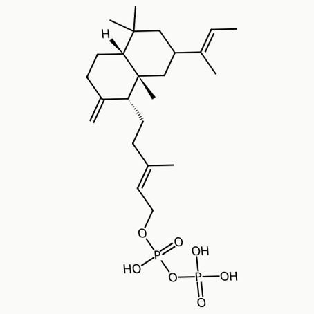 C=C1CC[C@@H]2C(C)(C)CC(/C(C)=C/C)C[C@]2(C)[C@@H]1CC/C(C)=C/COP(=O)(O)OP(=O)(O)O